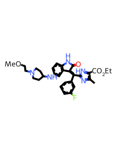 CCOC(=O)c1[nH]c(C(=C2C(=O)Nc3ccc(NC4CCN(CCOC)CC4)cc32)c2cccc(F)c2)nc1C